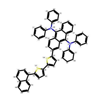 C1=CC(N(c2ccccc2)c2c3ccccc3c(N(c3ccccc3)c3ccccc3)c3ccc(-c4ccc(-c5ccc(-c6cccc7ccccc67)s5)s4)cc23)=CCC1